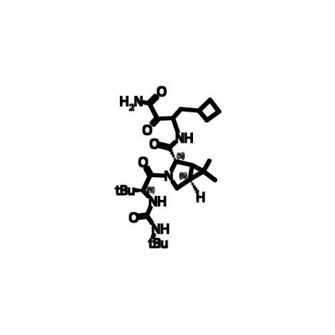 CC(C)(C)NC(=O)N[C@H](C(=O)N1C[C@H]2C([C@H]1C(=O)NC(CC1CCC1)C(=O)C(N)=O)C2(C)C)C(C)(C)C